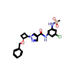 CS(=O)(=O)Nc1cc(Cl)cc(NC(=O)c2cnn(C3CC[C@@H]3OCc3ccccc3)c2)c1